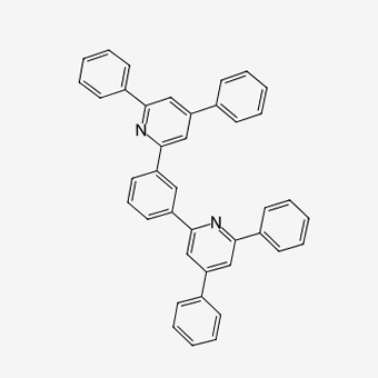 c1ccc(-c2cc(-c3ccccc3)nc(-c3cccc(-c4cc(-c5ccccc5)cc(-c5ccccc5)n4)c3)c2)cc1